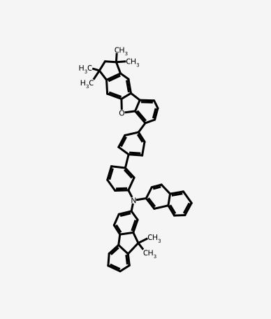 CC1(C)CC(C)(C)c2cc3c(cc21)oc1c(-c2ccc(-c4cccc(N(c5ccc6c(c5)C(C)(C)c5ccccc5-6)c5ccc6ccccc6c5)c4)cc2)cccc13